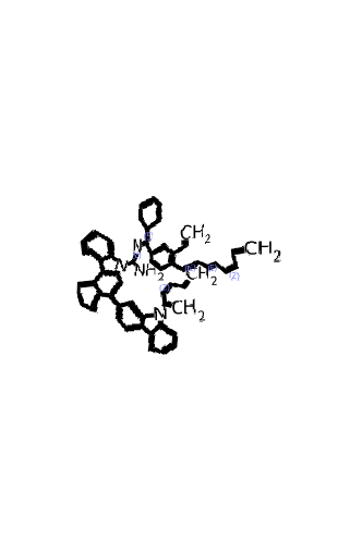 C=C\C=C/C=C/C=C/c1ccc(C(/N=C(\N)n2c3ccccc3c3c4ccccc4c(-c4ccc5c6ccccc6n(C(=C)/C=C\C=C)c5c4)cc32)=C2\C=CC=CC2)cc1C=C